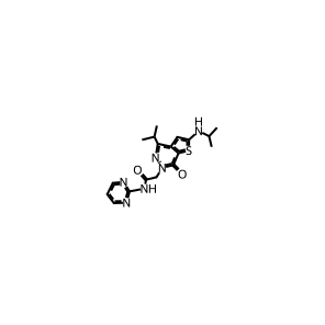 CC(C)Nc1cc2c(C(C)C)nn(CC(=O)Nc3ncccn3)c(=O)c2s1